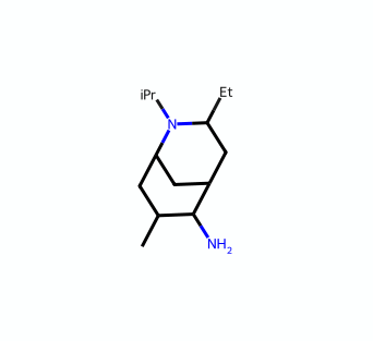 CCC1CC2CC(CC(C)C2N)N1C(C)C